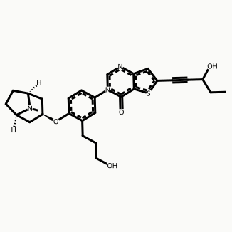 CCC(O)C#Cc1cc2ncn(-c3ccc(O[C@H]4C[C@H]5CC[C@@H](C4)N5C)c(CCCO)c3)c(=O)c2s1